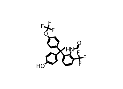 CC(c1ccc(O)cc1)(c1ccc(OC(F)(F)F)cc1)c1cccc(C(F)(F)F)c1NC=O